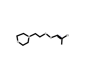 CC/C(C)=C/SSCCN1CCOCC1